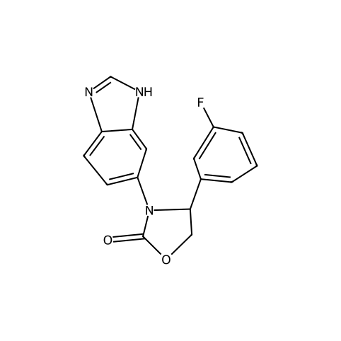 O=C1OCC(c2cccc(F)c2)N1c1ccc2nc[nH]c2c1